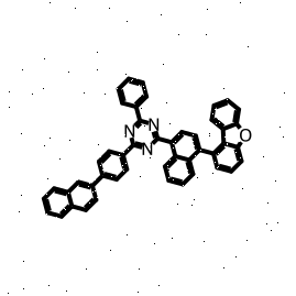 c1ccc(-c2nc(-c3ccc(-c4ccc5ccccc5c4)cc3)nc(-c3ccc(-c4cccc5oc6ccccc6c45)c4ccccc34)n2)cc1